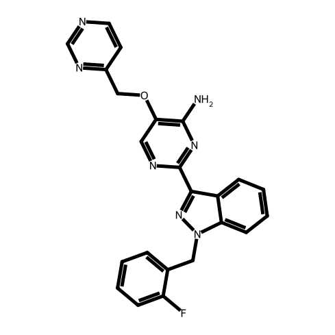 Nc1nc(-c2nn(Cc3ccccc3F)c3ccccc23)ncc1OCc1ccncn1